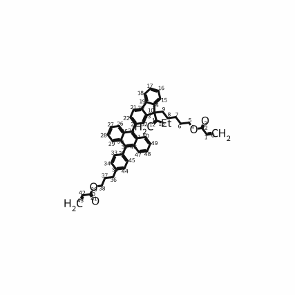 C=CC(=O)OCCCCCC1(C(=C)CC)c2ccccc2-c2ccc(-c3c4ccccc4c(-c4ccc(CCCOC(=O)C=C)cc4)c4ccccc34)cc21